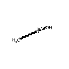 CCCCCCCCCCCCOCCNCCO